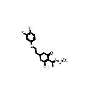 CCON=C(C)C1=C(O)CC(CCSc2ccc(F)c(F)c2)CC1=O